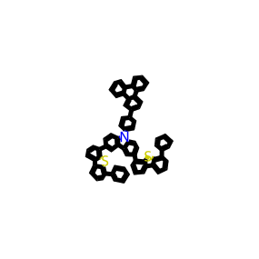 C1=CC(c2ccc3c4ccccc4c4ccccc4c3c2)CC=C1n1c2ccc(-c3cccc4c3sc3c(-c5ccccc5)cccc34)cc2c2cc(-c3cccc4c3sc3c(-c5ccccc5)cccc34)ccc21